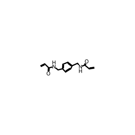 C=CC(=O)NCc1ccc(CNC(=O)C=C)cc1